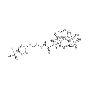 O=C(NCCCOc1ccc(C(F)(F)F)cc1)C(Cc1ccc(C(F)(F)P(=O)(O)O)cc1)NS(=O)(=O)c1ccccc1